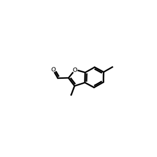 Cc1ccc2c(C)c(C=O)oc2c1